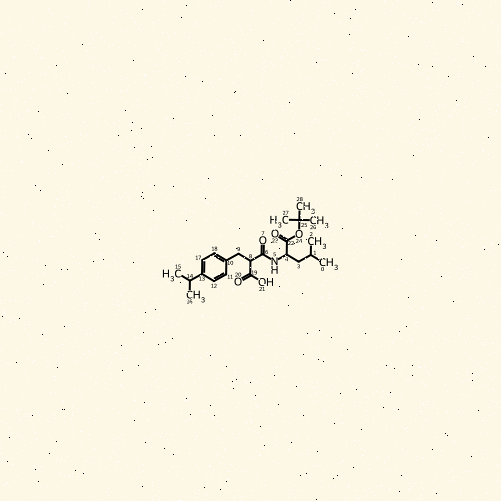 CC(C)CC(NC(=O)C(Cc1ccc(C(C)C)cc1)C(=O)O)C(=O)OC(C)(C)C